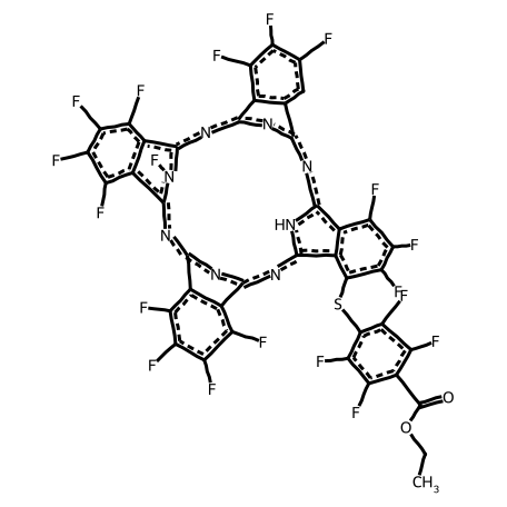 CCOC(=O)c1c(F)c(F)c(Sc2c(F)c(F)c(F)c3c4nc5nc(nc6c7c(F)c(F)c(F)c(F)c7c(nc7nc(nc([nH]4)c23)-c2c(F)c(F)c(F)c(F)c2-7)n6F)-c2c-5cc(F)c(F)c2F)c(F)c1F